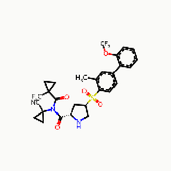 Cc1cc(-c2ccccc2OC(F)(F)F)ccc1S(=O)(=O)[C@H]1CN[C@H](C(=O)N(C(=O)C2(C(F)(F)F)CC2)C2(C#N)CC2)C1